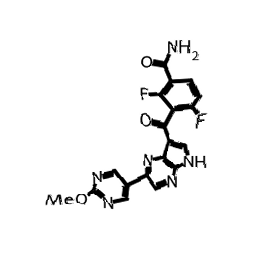 COc1ncc(-c2cnc3[nH]cc(C(=O)c4c(F)ccc(C(N)=O)c4F)c3n2)cn1